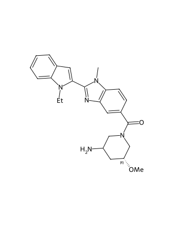 CCn1c(-c2nc3cc(C(=O)N4CC(N)C[C@@H](OC)C4)ccc3n2C)cc2ccccc21